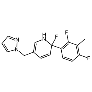 Cc1c(F)ccc(C2(F)C=CC(Cn3cccn3)=CN2)c1F